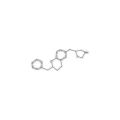 c1ccc(CC2CCc3cc(CC4CNCS4)ccc3O2)cc1